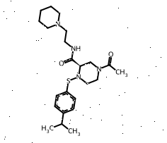 CC(=O)N1CCN(Sc2ccc(C(C)C)cc2)[C@@H](C(=O)NCCN2CCCCC2)C1